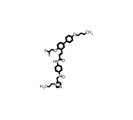 CCCCOc1ccc(-c2ccc(OCC(F)F)c(/C=C/C(=O)Nc3ccc([S+]([O-])Cc4cncn4CCC)cc3)c2)cc1